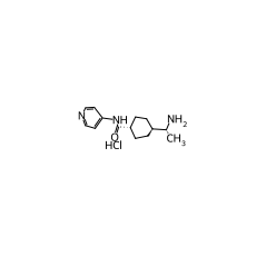 C[C@@H](N)[C@H]1CC[C@H](C(=O)Nc2ccncc2)CC1.Cl